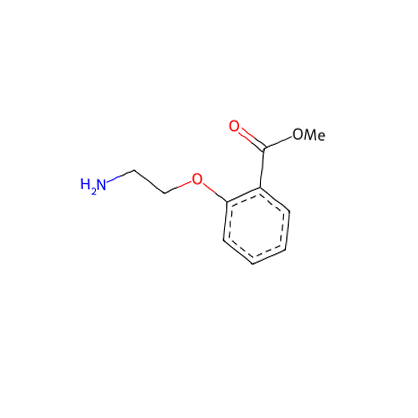 COC(=O)c1ccccc1OCCN